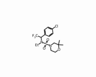 CCN(C(c1ccc(Cl)cc1)C(F)(F)F)S(=O)(=O)N1CCOC(C)(C)C1